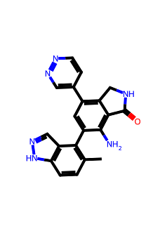 Cc1ccc2[nH]ncc2c1-c1cc(-c2ccnnc2)c2c(c1N)C(=O)NC2